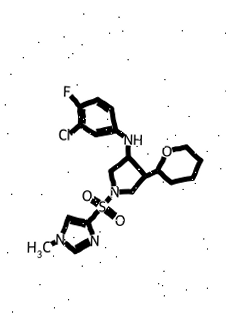 Cn1cnc(S(=O)(=O)N2CC(Nc3ccc(F)c(Cl)c3)C(C3CCCCO3)C2)c1